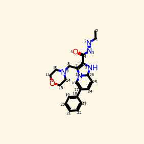 CCN=NC(=O)C1=C(CN2CCOCC2)N2C=C(c3ccccc3)C=CC2N1